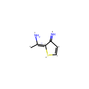 C/C(N)=C1\SC=CC1=N